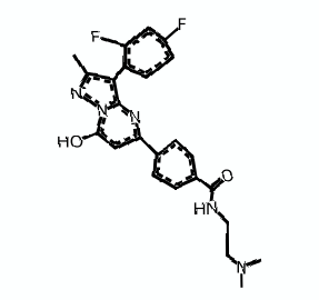 Cc1nn2c(O)cc(-c3ccc(C(=O)NCCN(C)C)cc3)nc2c1-c1ccc(F)cc1F